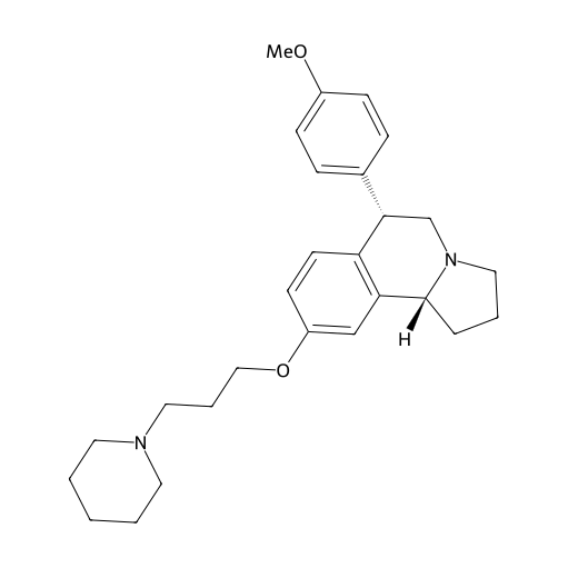 COc1ccc([C@@H]2CN3CCC[C@@H]3c3cc(OCCCN4CCCCC4)ccc32)cc1